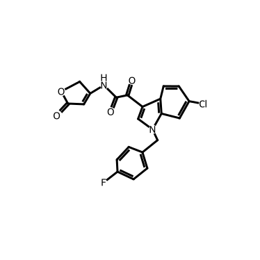 O=C1C=C(NC(=O)C(=O)c2cn(Cc3ccc(F)cc3)c3cc(Cl)ccc23)CO1